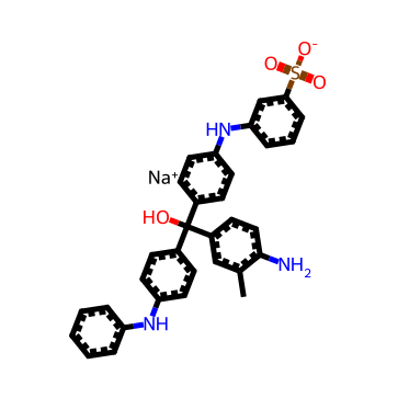 Cc1cc(C(O)(c2ccc(Nc3ccccc3)cc2)c2ccc(Nc3cccc(S(=O)(=O)[O-])c3)cc2)ccc1N.[Na+]